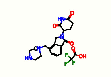 O=C(O)C(F)(F)F.O=C1CCC(N2Cc3c(CN4CCNCC4)cccc3C2=O)C(=O)N1